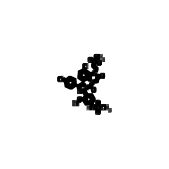 CCOc1cc(NS(C)(=O)=O)ccc1C1=N[C@@H](c2ccc(Cl)cc2)[C@@H](c2ccc(Cl)cc2)N1C(=O)N1CCN(CCS(C)(=O)=O)C(=O)C1